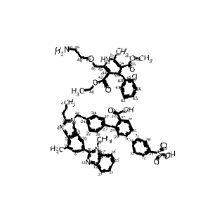 CCCc1nc2c(C)cc(-c3nc4ccccc4n3C)cc2n1Cc1ccc(-c2ccccc2C(=O)O)cc1.CCOC(=O)C1=C(COCCN)NC(C)=C(C(=O)OC)C1c1ccccc1Cl.O=S(=O)(O)c1ccccc1